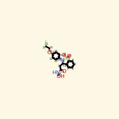 O=C(CC1c2ccccc2S(=O)(=O)N1c1ccc(OCCF)cc1)NO